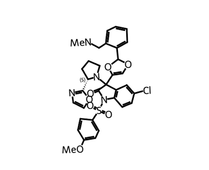 CNCc1ccccc1C1OC=C(C2(N3CCC[C@H]3c3ncco3)C(=O)N(S(=O)(=O)c3ccc(OC)cc3)c3ccc(Cl)cc32)O1